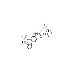 C[C@@H](O)c1cc(NC(=O)OC(C)(C)C)ccc1-n1cccn1